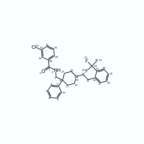 O=C(NCC1(c2ccccc2)CCN(CCc2ccccc2C(F)(F)F)CC1)c1cccc(Cl)c1